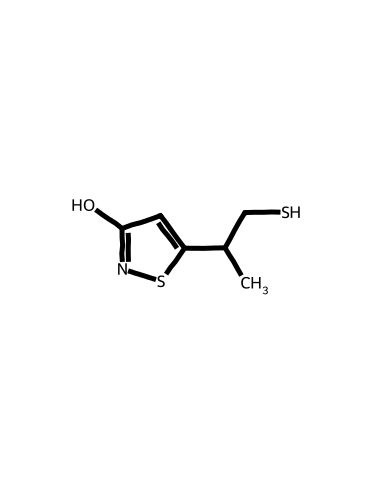 CC(CS)c1cc(O)ns1